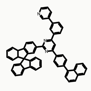 C1=CC2c3ccc(-c4nc(-c5ccc(-c6cccc7ccccc67)cc5)cc(-c5cccc(-c6cccnc6)c5)n4)cc3C3(c4ccccc4-c4ccccc43)C2C=C1